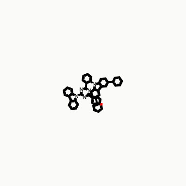 c1ccc(-c2ccc3c(c2)c2cc(-c4ccccc4)ccc2n3-c2ccccc2-c2nc(-c3ccccc3)nc(-n3c4ccccc4c4ccccc43)n2)cc1